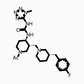 CC(=O)N1CC[C@@H](NC(=O)Nc2nnnn2C)[C@H](CN2CCC[C@@H](Cc3ccc(F)cc3)C2)C1